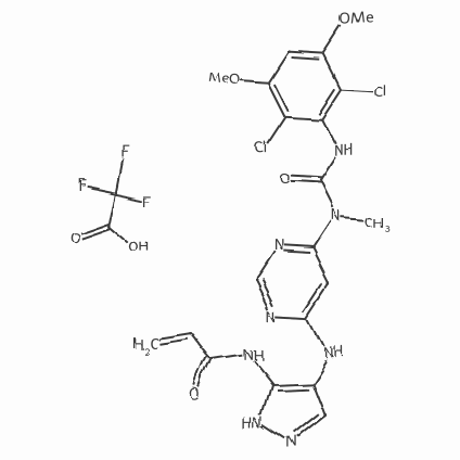 C=CC(=O)Nc1[nH]ncc1Nc1cc(N(C)C(=O)Nc2c(Cl)c(OC)cc(OC)c2Cl)ncn1.O=C(O)C(F)(F)F